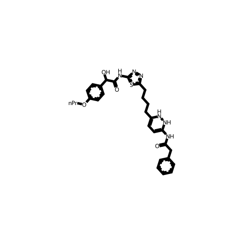 CCCOc1ccc(C(O)C(=O)Nc2nnc(CCCCC3=CC=C(NC(=O)Cc4ccccc4)NN3)s2)cc1